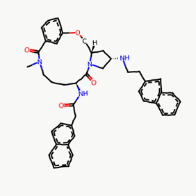 CN1CCC[C@H](NC(=O)Cc2ccc3ccccc3c2)C(=O)N2C[C@@H](NCCc3ccc4ccccc4c3)C[C@H]2COc2cccc(c2)C1=O